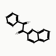 O=C(C(=O)c1ccc2ccccc2c1)c1ccccc1